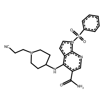 N#CCCN1CCC(Nc2c(C(N)=O)cnc3c2ccn3S(=O)(=O)c2ccccc2)CC1